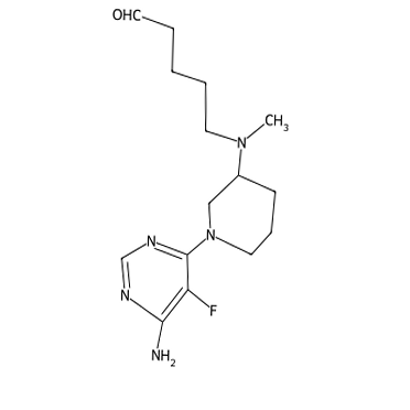 CN(CCCCC=O)C1CCCN(c2ncnc(N)c2F)C1